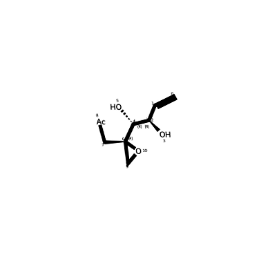 C=C[C@@H](O)[C@@H](O)[C@@]1(CC(C)=O)CO1